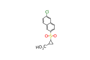 O=C(O)C1CC1S(=O)(=O)c1ccc2cc(Cl)ccc2c1